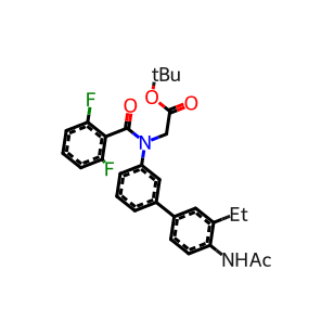 CCc1cc(-c2cccc(N(CC(=O)OC(C)(C)C)C(=O)c3c(F)cccc3F)c2)ccc1NC(C)=O